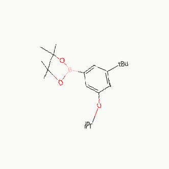 CC(C)Oc1cc(B2OC(C)(C)C(C)(C)O2)cc(C(C)(C)C)c1